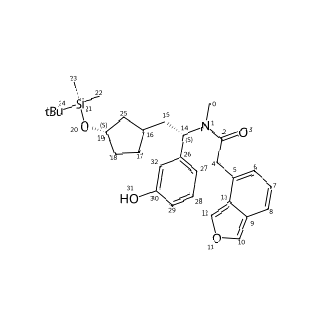 CN(C(=O)Cc1cccc2cocc12)[C@@H](CC1CC[C@H](O[Si](C)(C)C(C)(C)C)C1)c1cccc(O)c1